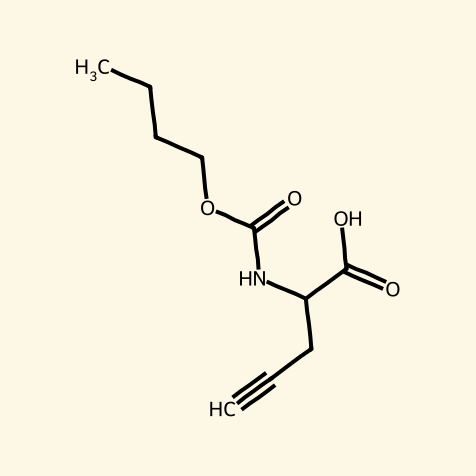 C#CCC(NC(=O)OCCCC)C(=O)O